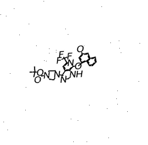 COc1cc(Oc2nc(C(F)(F)F)cc3c2NCN=C3N2CCN(C(=O)OC(C)(C)C)CC2)c2ccccc2c1